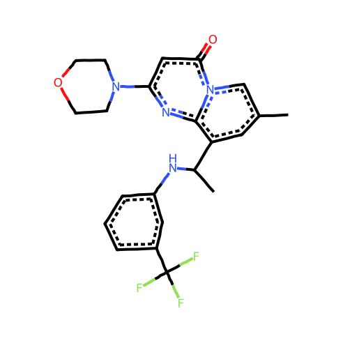 Cc1cc(C(C)Nc2cccc(C(F)(F)F)c2)c2nc(N3CCOCC3)cc(=O)n2c1